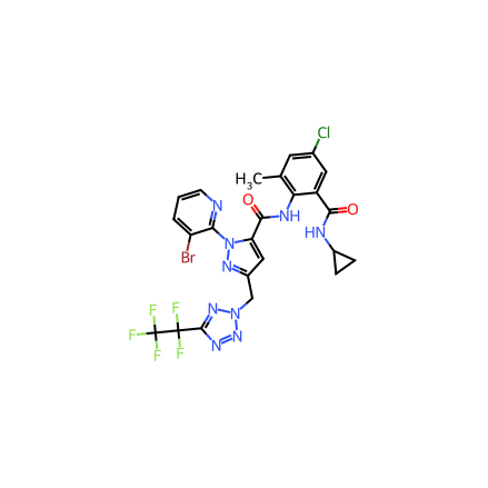 Cc1cc(Cl)cc(C(=O)NC2CC2)c1NC(=O)c1cc(Cn2nnc(C(F)(F)C(F)(F)F)n2)nn1-c1ncccc1Br